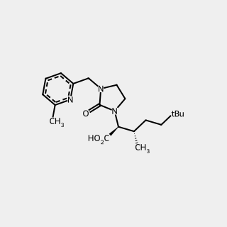 Cc1cccc(CN2CCN([C@H](C(=O)O)[C@@H](C)CCC(C)(C)C)C2=O)n1